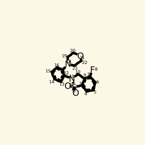 O=S1(=O)c2cccc(F)c2CN1c1ccccc1N1CCOCC1